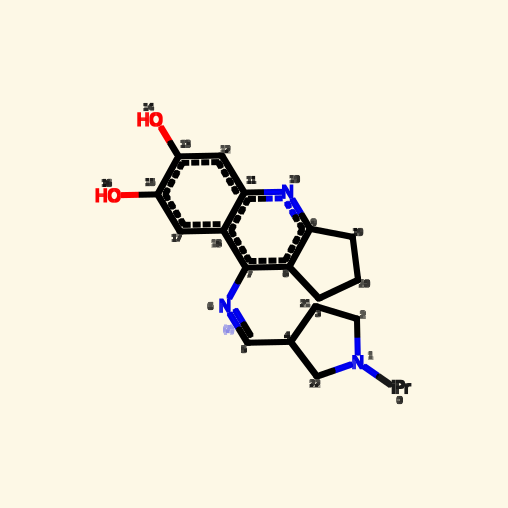 CC(C)N1CCC(/C=N\c2c3c(nc4cc(O)c(O)cc24)CCC3)C1